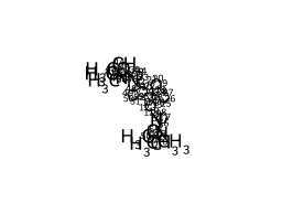 CC1(C)N=C(c2cccc(-c3ccc4c(c3)C(c3ccccc3)(c3ccccc3)c3cc(-c5cccc(C6=NC(C)(C)C(C)(C)O6)n5)c5ccccc5c3-4)n2)OC1(C)C